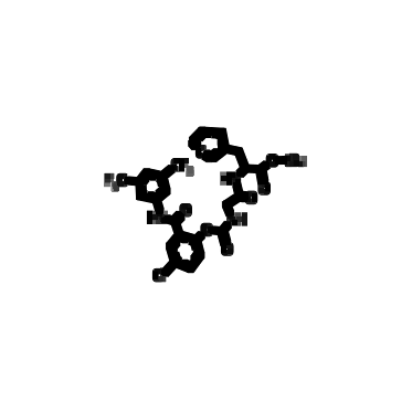 CC(C)(C)OC(=O)C(Cc1ccccc1)NC(=O)CNC(=O)Oc1ccc(Cl)cc1C(=O)Nc1cc(C(F)(F)F)cc(C(F)(F)F)c1